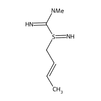 CC=CCS(=N)C(=N)NC